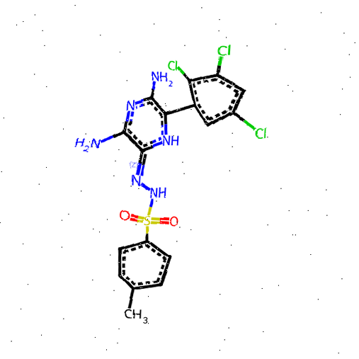 Cc1ccc(S(=O)(=O)N/N=c2\[nH]c(-c3cc(Cl)cc(Cl)c3Cl)c(N)nc2N)cc1